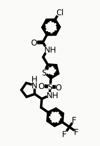 O=C(NCc1ccc(S(=O)(=O)NC(Cc2ccc(C(F)(F)F)cc2)C2CCCN2)s1)c1ccc(Cl)cc1